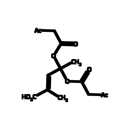 CC(=O)CC(=O)OC(C)(C=C(C)C(=O)O)OC(=O)CC(C)=O